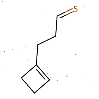 S=CCCC1=CCC1